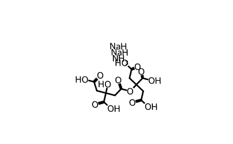 N.O=C(O)CC(O)(CC(=O)OC(CC(=O)O)(CC(=O)O)C(=O)O)C(=O)O.[NaH].[NaH]